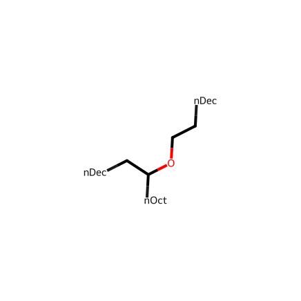 CCCCCCCCCCCCOC(CCCCCCCC)CCCCCCCCCCC